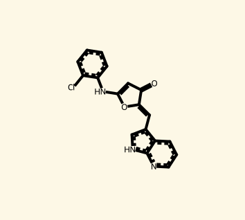 O=C1C=C(Nc2ccccc2Cl)O/C1=C\c1c[nH]c2ncccc12